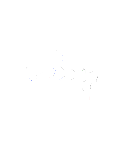 N#Cc1cc2c(N3CC4CCC(C3)N4)nc(OC[C@@]34CCCN3C[C@H](F)C4)nc2c(F)c1-c1cc(O)cc2ccc(F)c(Cl)c12